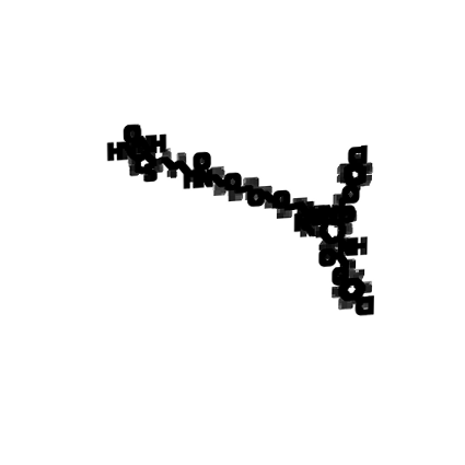 O=C(CCCC[C@H]1SCC2NC(=O)NC21)NCCOCCOCCOCCn1cc([C@]2(NC(=O)COc3ccc(Cl)cc3)CC[C@H](NC(=O)COc3ccc(Cl)cc3)CC2)nn1